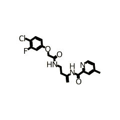 C=C(CCNC(=O)COc1ccc(Cl)c(F)c1)NC(=O)c1cc(C)ccn1